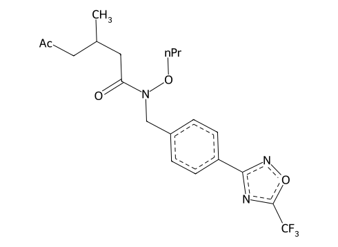 CCCON(Cc1ccc(-c2noc(C(F)(F)F)n2)cc1)C(=O)CC(C)CC(C)=O